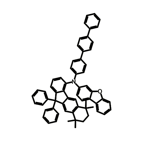 CC1(C)CCC(C)(C)c2cc3c(cc21)-c1c(N(c2ccc(-c4ccc(-c5ccccc5)cc4)cc2)c2ccc4c(c2)oc2ccccc24)cccc1C3(c1ccccc1)c1ccccc1